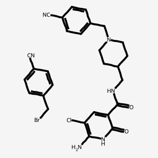 N#Cc1ccc(CBr)cc1.N#Cc1ccc(CN2CCC(CNC(=O)c3cc(Cl)c(N)[nH]c3=O)CC2)cc1